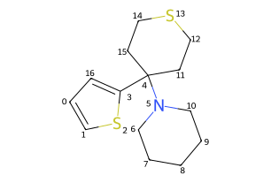 c1csc(C2(N3CCCCC3)CCSCC2)c1